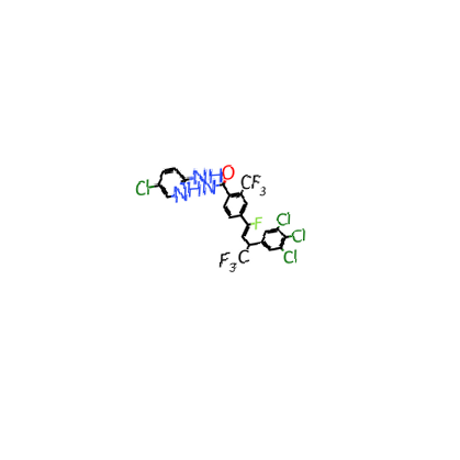 O=C(NNc1ccc(Cl)cn1)c1ccc(C(F)=CC(c2cc(Cl)c(Cl)c(Cl)c2)C(F)(F)F)cc1C(F)(F)F